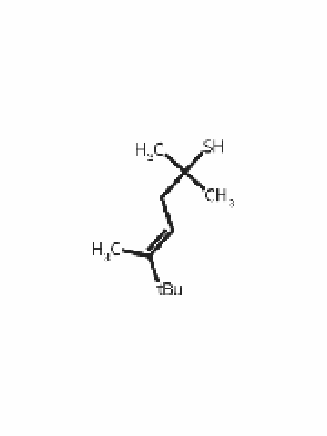 C/C(=C\CC(C)(C)S)C(C)(C)C